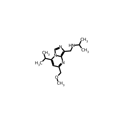 COCc1cc(C(C)C)n2cnc(CNC(C)C)c2n1